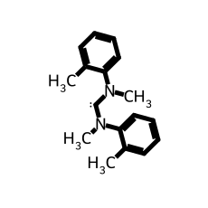 Cc1ccccc1N(C)[C]N(C)c1ccccc1C